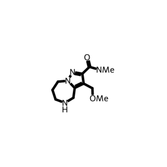 CNC(=O)c1nn2c(c1COC)CNCCC2